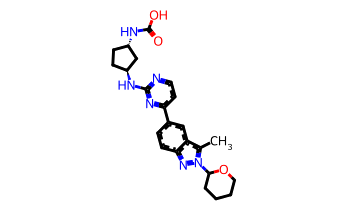 Cc1c2cc(-c3ccnc(N[C@H]4CC[C@H](NC(=O)O)C4)n3)ccc2nn1C1CCCCO1